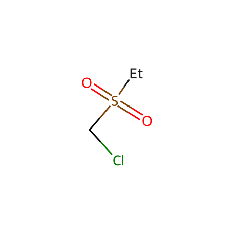 [CH2]CS(=O)(=O)CCl